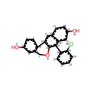 Oc1ccc2c(c1)COc1c-2cc2ccc(O)cc2c1-c1ccccc1Cl